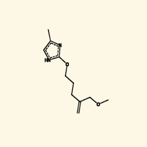 C=C(CCCOc1nc(C)c[nH]1)COC